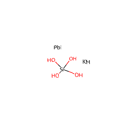 O[Si](O)(O)O.[KH].[Pb]